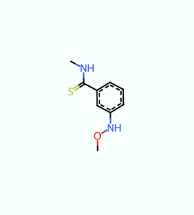 CNC(=S)c1cccc(NOC)c1